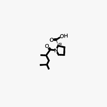 CC(C)CC(C)C(=O)N1CCC[C@H]1C(=O)O